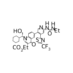 CCNC(=O)Nc1cc(-c2nc(C(F)(F)F)cs2)c(-c2ccc3c(c2)c(=O)c(C(=O)OCC)cn3[C@H](CO)C2CCCCC2)cn1